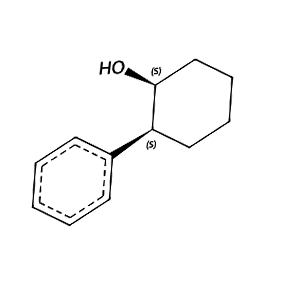 O[C@H]1CCCC[C@H]1c1ccccc1